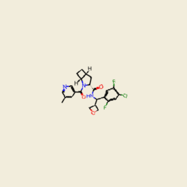 Cc1cncc(C(=O)N2[C@@H](C(=O)NC(c3cc(F)c(Cl)cc3F)C3COC3)C[C@H]3CC[C@H]32)c1